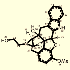 COc1ccc2c3c1O[C@H]1c4[nH]c5ccccc5c4C[C@@]4(O)[C@@H]5N(CCO)[C@]5(C2)C[C@]314